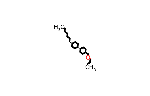 CC/C=C\OCC1CCC([C@H]2CC[C@H](CCCCCCC)CC2)CC1